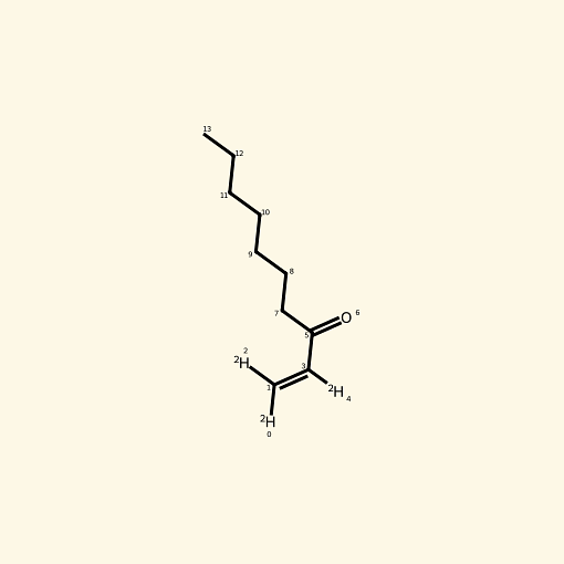 [2H]C([2H])=C([2H])C(=O)CCCCCCC